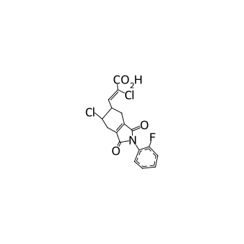 O=C(O)C(Cl)=CC1CC2=C(CC1Cl)C(=O)N(c1ccccc1F)C2=O